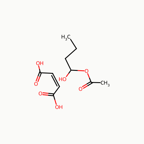 CCCC(O)OC(C)=O.O=C(O)/C=C\C(=O)O